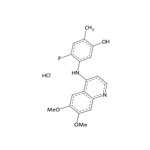 COc1cc2nccc(Nc3cc(O)c(C)cc3F)c2cc1OC.Cl